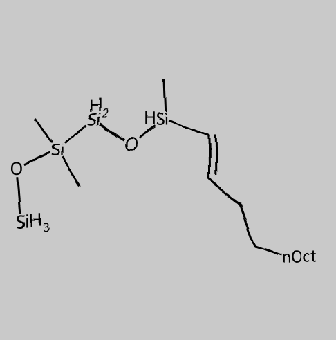 CCCCCCCCCCC=C[SiH](C)O[SiH2][Si](C)(C)O[SiH3]